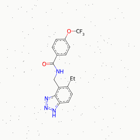 CCc1ccc2[nH]nnc2c1CNC(=O)c1ccc(OC(F)(F)F)cc1